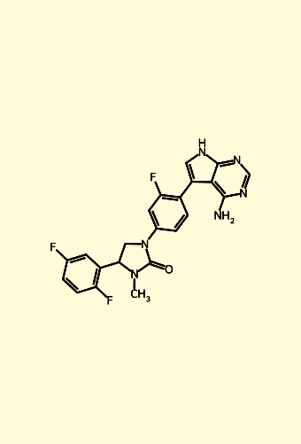 CN1C(=O)N(c2ccc(-c3c[nH]c4ncnc(N)c34)c(F)c2)CC1c1cc(F)ccc1F